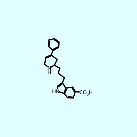 O=C(O)c1ccc2[nH]cc(CCCC3CC(c4ccccc4)=CCN3)c2c1